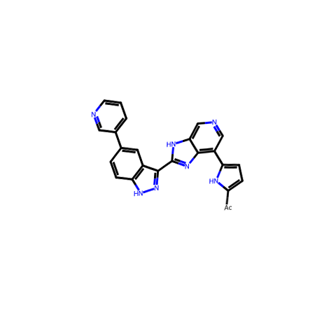 CC(=O)c1ccc(-c2cncc3[nH]c(-c4n[nH]c5ccc(-c6cccnc6)cc45)nc23)[nH]1